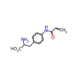 C=CC(=O)Nc1ccc(CC(N)C(=O)O)cc1